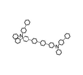 C1=CC(c2ccccc2)(N(c2ccccc2)c2ccc(-c3ccccc3)cc2)C=CC1c1ccc(-c2ccc(-c3ccc(N(c4ccccc4)c4ccc(-c5ccccc5)cc4)cc3)cc2)cc1